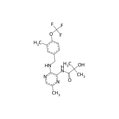 Cc1cnc(NCc2ccc(OC(F)(F)F)c(C)c2)c(NC(=O)C(C)(C)O)n1